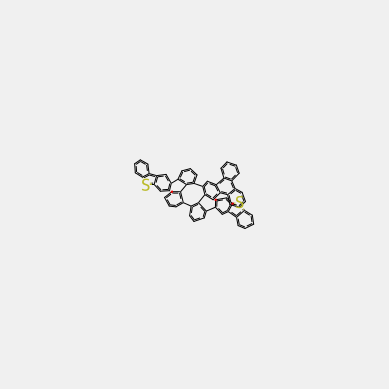 c1ccc2c(c1)-c1cccc(-c3ccc4sc5ccccc5c4c3)c1-c1cc3c4ccccc4c4ccccc4c3cc1-c1cccc(-c3ccc4sc5ccccc5c4c3)c1-2